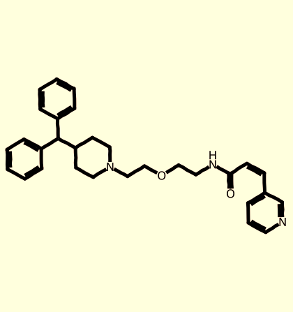 O=C(/C=C\c1cccnc1)NCCOCCN1CCC(C(c2ccccc2)c2ccccc2)CC1